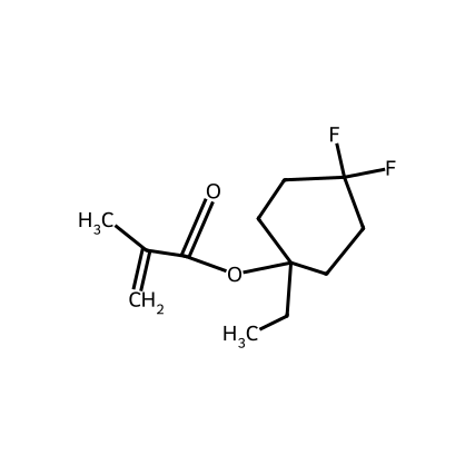 C=C(C)C(=O)OC1(CC)CCC(F)(F)CC1